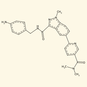 CN(C)C(=O)c1ccc(-c2ccc3c(c2)c(C(=O)NCc2ccc(N)cc2)nn3C)nc1